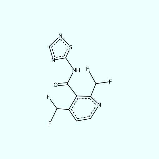 O=C(Nc1ncns1)c1c(C(F)F)ccnc1C(F)F